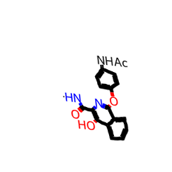 CC(=O)Nc1ccc(Oc2nc(C([NH])=O)c(O)c3ccccc23)cc1